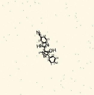 Cc1ccc(-c2nn(C)c(-c3nc4ccc(C#N)cc4[nH]3)c2O)cc1